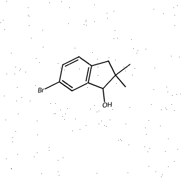 CC1(C)Cc2ccc(Br)cc2C1O